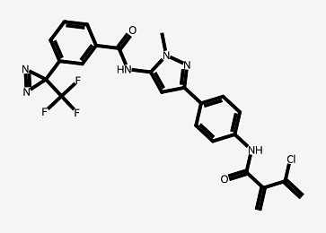 C=C(Cl)C(=C)C(=O)Nc1ccc(-c2cc(NC(=O)c3cccc(C4(C(F)(F)F)N=N4)c3)n(C)n2)cc1